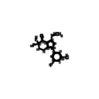 C=Cc1cn(-c2cc(F)cc(Cl)c2)c2c1C(=O)C(F)(F)CC2